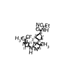 CC[C@@H](C#N)NC(=O)c1ccc(-c2nc(Nc3cnn([C@@H](C)C(F)(F)F)c3)ncc2C)cc1